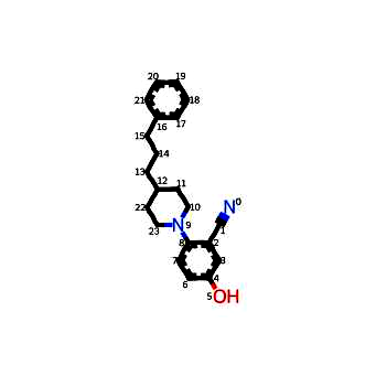 N#Cc1cc(O)ccc1N1CCC(CCCc2ccccc2)CC1